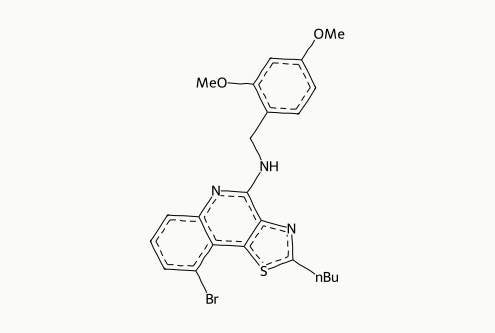 CCCCc1nc2c(NCc3ccc(OC)cc3OC)nc3cccc(Br)c3c2s1